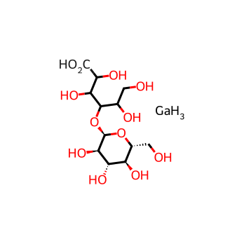 O=C(O)C(O)C(O)C(O[C@H]1O[C@H](CO)[C@@H](O)[C@H](O)[C@H]1O)C(O)CO.[GaH3]